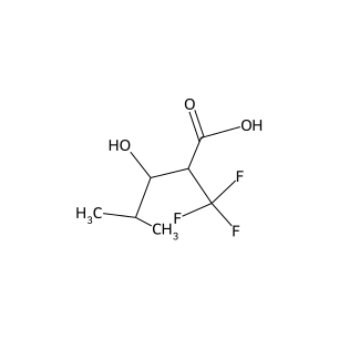 CC(C)C(O)C(C(=O)O)C(F)(F)F